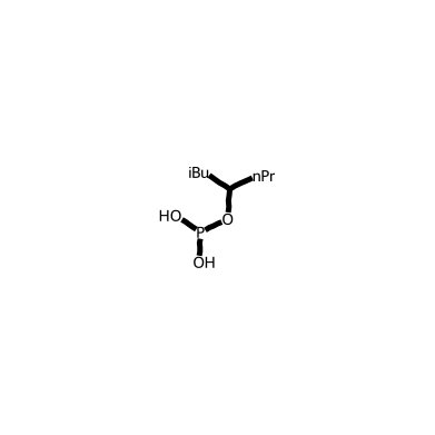 CCCC(OP(O)O)C(C)CC